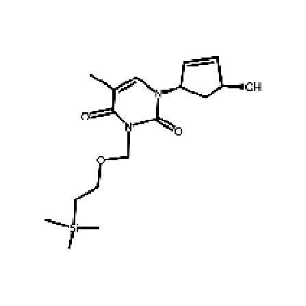 Cc1cn([C@H]2C=C[C@@H](O)C2)c(=O)n(COCC[Si](C)(C)C)c1=O